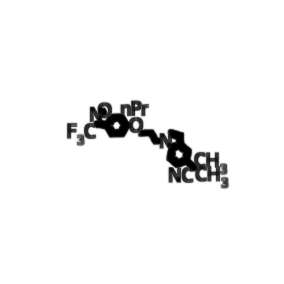 CCCc1c(OCCCn2ccc3cc(C(C)(C)C#N)ccc32)ccc2c(C(F)(F)F)noc12